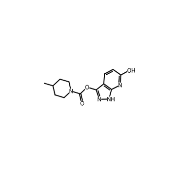 CC1CCN(C(=O)Oc2n[nH]c3nc(O)ccc23)CC1